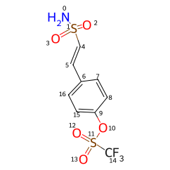 NS(=O)(=O)C=Cc1ccc(OS(=O)(=O)C(F)(F)F)cc1